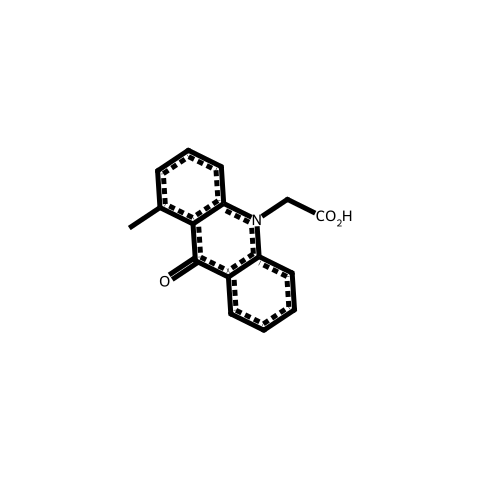 Cc1cccc2c1c(=O)c1ccccc1n2CC(=O)O